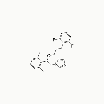 Cc1cccc(C)c1C(Cn1ccnc1)OCCCc1c(F)cccc1F